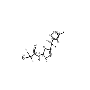 Cc1ncc(C(C)(C)C2=NOC(NC(=O)C(C)(C)Br)C2)s1